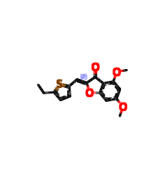 CCc1ccc(/C=C2\Oc3cc(OC)cc(OC)c3C2=O)s1